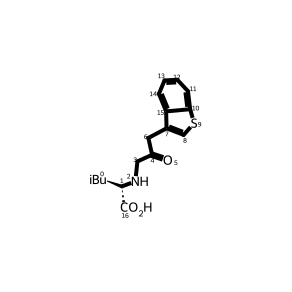 CC[C@H](C)[C@H](NCC(=O)Cc1csc2ccccc12)C(=O)O